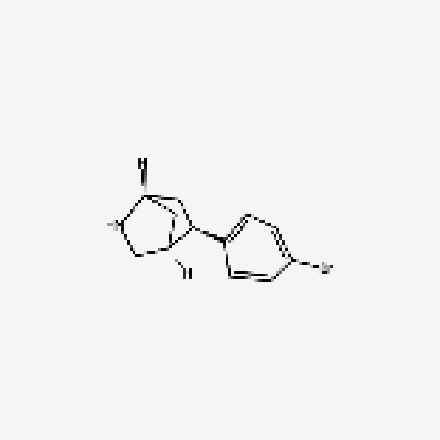 Brc1ccc([C@@H]2C[C@@H]3C[C@@H]2CN3)cc1